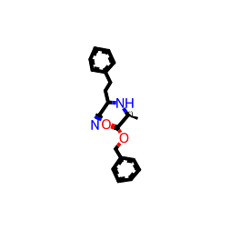 C[C@H](NC(C#N)CCc1ccccc1)C(=O)OCc1ccccc1